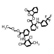 CCOCOC(=O)c1ccccc1Nc1c(Cl)ccc(C)c1Cl.O=C1OC(OC(=O)c2cccnc2Nc2cccc(C(F)(F)F)c2)c2ccccc21